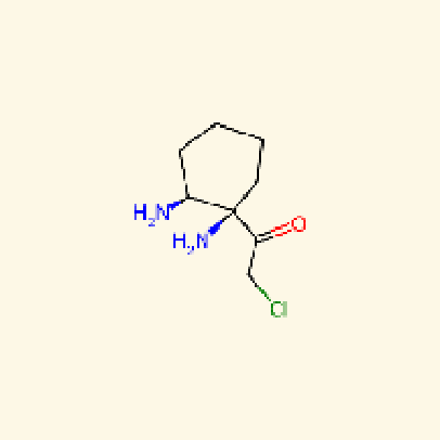 N[C@H]1CCCC[C@]1(N)C(=O)CCl